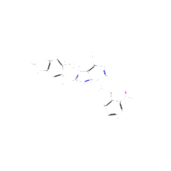 Nc1ncn(CCc2ccccc2[N+](=O)[O-])c2nc(Sc3cc4c(cc3Br)OCO4)nc1-2